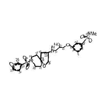 CNS(=O)(=O)c1cccc(OCC(O)CNC2COC3(CCN(S(=O)(=O)c4ccoc4)CC3)C2)c1